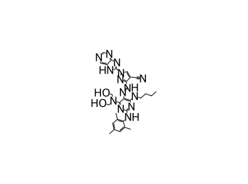 CCCCNc1nc(Nc2c(C)cc(C)cc2C)nc(N(CO)CO)c1N=Nc1nn(-c2nc3ncncc3[nH]2)cc1C#N